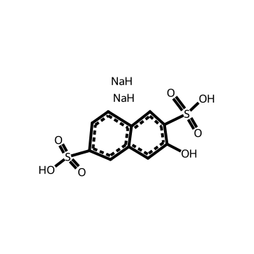 O=S(=O)(O)c1ccc2cc(S(=O)(=O)O)c(O)cc2c1.[NaH].[NaH]